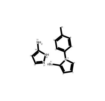 CCCCc1cccn1-c1ccc(C)cc1.Nc1ccn[nH]1